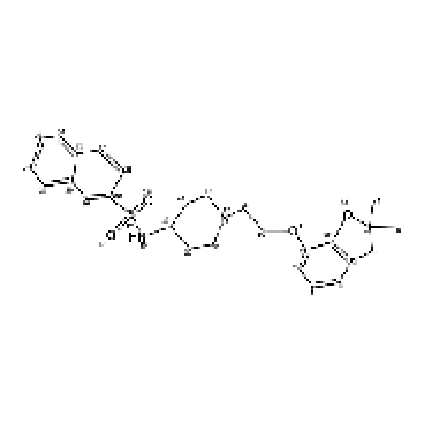 CC1(C)Cc2cccc(OCCN3CCC(NS(=O)(=O)c4ccc5ccccc5c4)CC3)c2O1